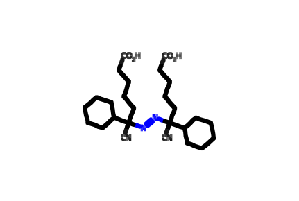 N#CC(CCCCC(=O)O)(/N=N/C(C#N)(CCCCC(=O)O)C1CCCCC1)C1CCCCC1